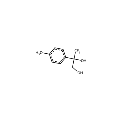 Cc1ccc(C(O)(CO)C(F)(F)F)cc1